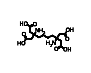 NC(CCCCC(N)(CC(=O)O)CC(=O)O)(CC(=O)O)CC(=O)O